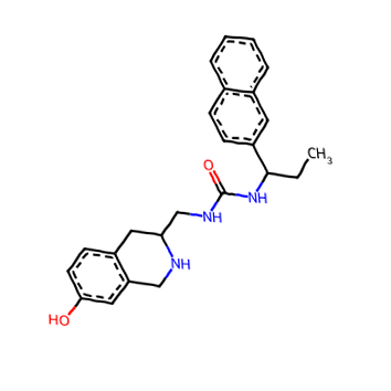 CCC(NC(=O)NCC1Cc2ccc(O)cc2CN1)c1ccc2ccccc2c1